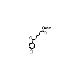 COC(=O)CCCCC(=O)c1ccc(Cl)cc1